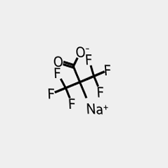 CC(C(=O)[O-])(C(F)(F)F)C(F)(F)F.[Na+]